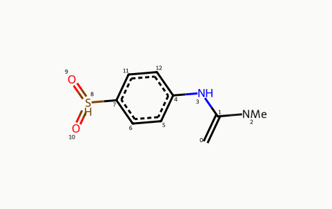 C=C(NC)Nc1ccc([SH](=O)=O)cc1